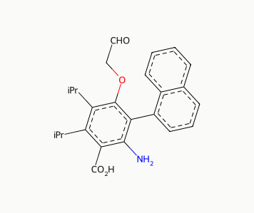 CC(C)c1c(OCC=O)c(-c2cccc3ccccc23)c(N)c(C(=O)O)c1C(C)C